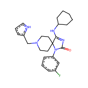 O=C1N=C(NC2CCCCC2)C2(CCN(Cc3ccc[nH]3)CC2)N1c1cccc(F)c1